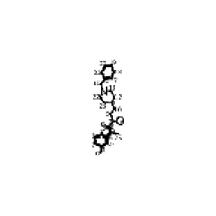 Cc1ccc2sc(C(=O)CCC3CCN(Cc4ccccc4)CC3)c(C)c2c1